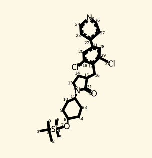 CC(C)(C)[Si](C)(C)O[C@H]1CC[C@@H](N2CCC(Cc3c(Cl)cc(-c4ccncc4)cc3Cl)C2=O)CC1